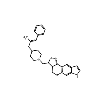 CC(=Cc1ccccc1)CN1CCN(CC2ON=C3c4cc5cc[nH]c5cc4OCC32)CC1